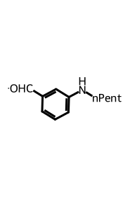 CCCCCNc1cccc([C]=O)c1